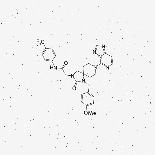 COc1ccc(CN2C(=O)N(CC(=O)Nc3ccc(C(F)(F)F)cc3)CC23CCN(c2nccc4ncnn24)CC3)cc1